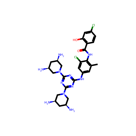 Cc1cc(Nc2nc(N3C[C@H](N)C[C@H](N)C3)nc(N3C[C@H](N)C[C@H](N)C3)n2)cc(Cl)c1NC(=O)c1ccc(Cl)cc1O